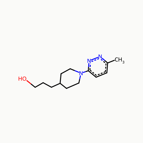 Cc1ccc(N2CCC(CCCO)CC2)nn1